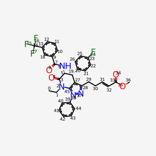 CCN1C(=O)[C@H](NC(=O)c2cccc(C(F)(F)F)c2)[C@H](c2ccc(F)cc2)c2c(CC/C=C/C(=O)OC)nn(-c3ccccc3)c21